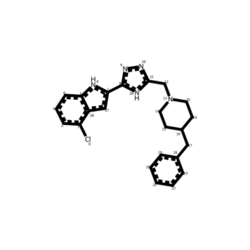 Clc1cccc2[nH]c(-c3nnc(CN4CCC(Cc5ccccc5)CC4)[nH]3)cc12